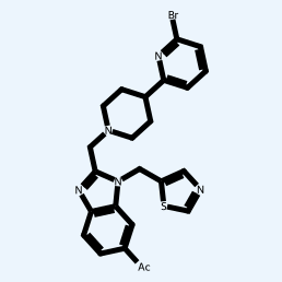 CC(=O)c1ccc2nc(CN3CCC(c4cccc(Br)n4)CC3)n(Cc3cncs3)c2c1